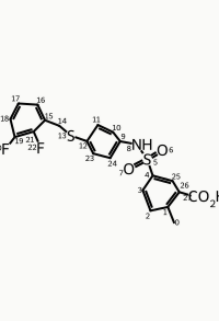 Cc1ccc(S(=O)(=O)Nc2ccc(SCc3cccc(F)c3F)cc2)cc1C(=O)O